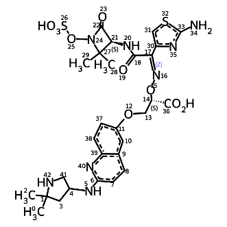 CC1(C)CC(Nc2ccc3cc(OC[C@H](O/N=C(\C(=O)N[C@@H]4C(=O)N(OS(=O)(=O)O)C4(C)C)c4csc(N)n4)C(=O)O)ccc3n2)CN1